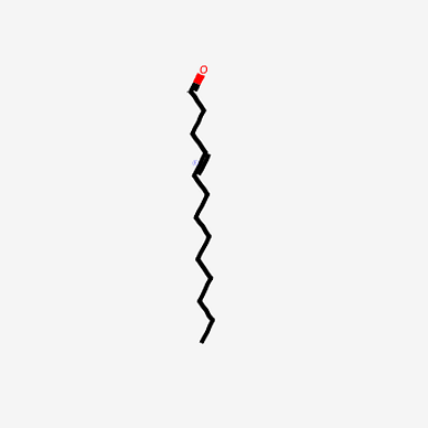 CCCCCCCC/C=C/CC[C]=O